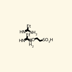 CCC(=N)N.CCC(=N)N.O=S(=O)(O)CCO